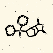 O=C1OC(=O)C2C3CC(CC3P(=O)(c3ccccc3)c3ccccc3)C12